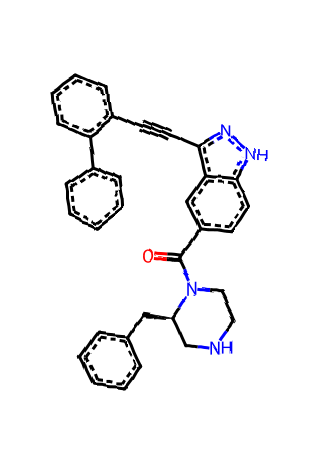 O=C(c1ccc2[nH]nc(C#Cc3ccccc3-c3ccccc3)c2c1)N1CCNC[C@H]1Cc1ccccc1